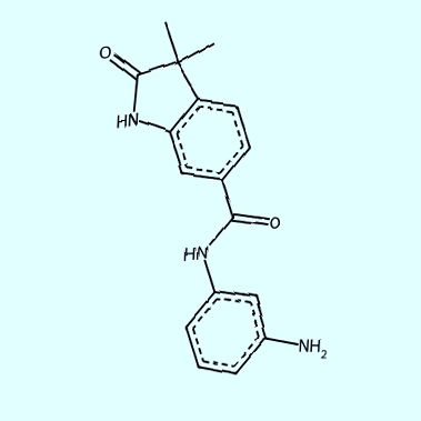 CC1(C)C(=O)Nc2cc(C(=O)Nc3cccc(N)c3)ccc21